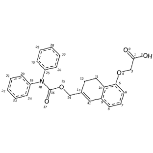 O=C(O)COc1cccc2c1CCC(COC(=O)N(c1ccccc1)c1ccccc1)=C2